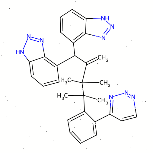 C=C(C(c1cccc2[nH]nnc12)c1cccc2[nH]nnc12)C(C)(C)C(C)(C)c1ccccc1-c1ccnnn1